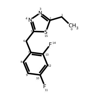 CCc1nnc(Cc2ccc(F)cc2F)s1